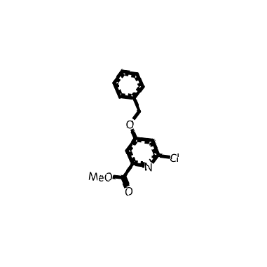 COC(=O)c1cc(OCc2ccccc2)cc(Cl)n1